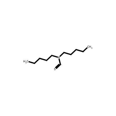 CCCCCN([C]=S)CCCCC